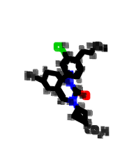 CC(C)C1CC[C@]2(c3ccc(CCC(C)(C)C)c(Cl)c3)NC(=O)N(C34CC(C(=O)O)(C3)C4)C=C2C1